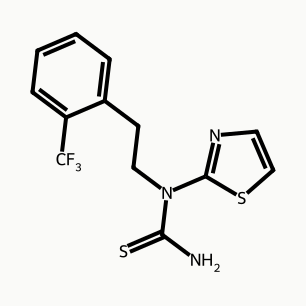 NC(=S)N(CCc1ccccc1C(F)(F)F)c1nccs1